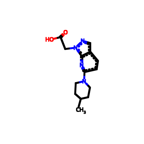 CC1CCN(c2ccc3cnn(CC(=O)O)c3n2)CC1